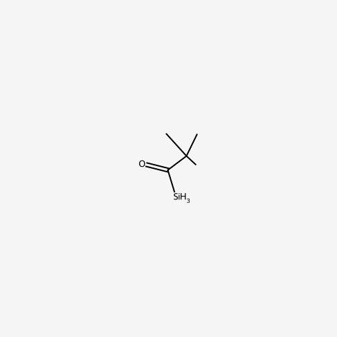 CC(C)(C)C(=O)[SiH3]